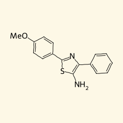 COc1ccc(-c2nc(-c3ccccc3)c(N)s2)cc1